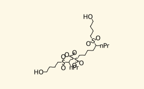 CCCC(CCCCS(=O)(=O)S(=O)(=O)C(CCC)S(=O)(=O)CCCCO)S(=O)(=O)CCCCO